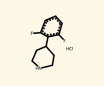 Cl.Fc1cccc(F)c1C1CCNCC1